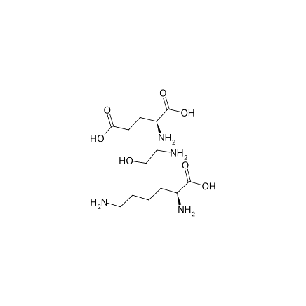 NCCCC[C@H](N)C(=O)O.NCCO.N[C@@H](CCC(=O)O)C(=O)O